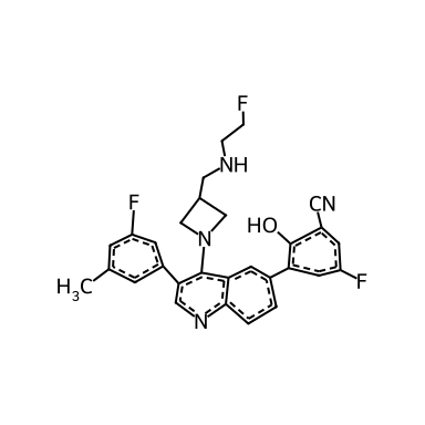 Cc1cc(F)cc(-c2cnc3ccc(-c4cc(F)cc(C#N)c4O)cc3c2N2CC(CNCCF)C2)c1